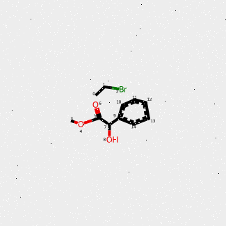 CCBr.COC(=O)C(O)c1ccccc1